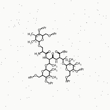 CCCOCC1OC(OCC(N)C(=O)NC(C(=O)NC(C(=O)C(C)(C)C)C(C)OC2OC(COCCC)[C@H](OCCC)[C@H](C)[C@@H]2C)C(C)OC2OC(COCCC)[C@H](OCCC)[C@H](C)[C@@H]2C)[C@@H](C)[C@@H](C)[C@H]1OCCC